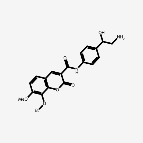 CCOc1c(OC)ccc2cc(C(=O)Nc3ccc(C(O)CN)cc3)c(=O)oc12